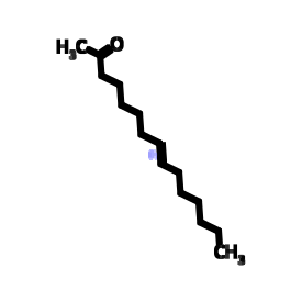 CCCCCC/C=C/CCCCCC(C)=O